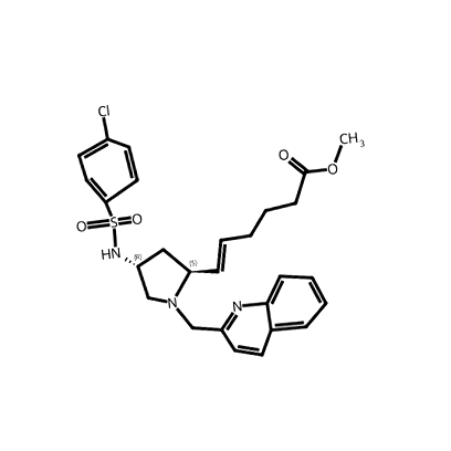 COC(=O)CCCC=C[C@@H]1C[C@@H](NS(=O)(=O)c2ccc(Cl)cc2)CN1Cc1ccc2ccccc2n1